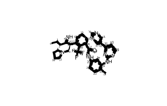 CCCC(=N)[C@H](CN1CCCC1)c1cccc(C(=O)Nc2ccc(C)c(Nc3nccc(-c4cncnc4)n3)c2)c1C(F)(F)F